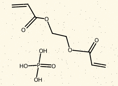 C=CC(=O)OCCOC(=O)C=C.O=P(O)(O)O